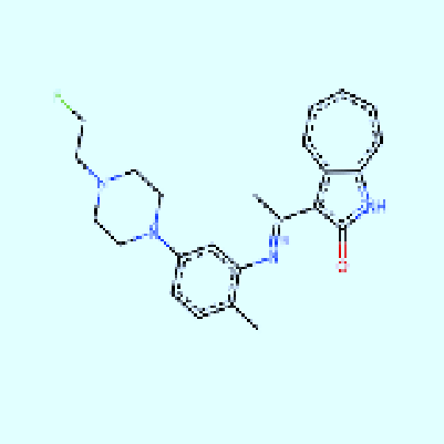 C/C(=N\c1cc(N2CCN(CCF)CC2)ccc1C)c1c2cccccc-2[nH]c1=O